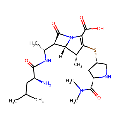 CC(C)C[C@H](N)C(=O)N[C@H](C)[C@H]1C(=O)N2C(C(=O)O)=C(S[C@@H]3CN[C@H](C(=O)N(C)C)C3)[C@H](C)[C@H]12